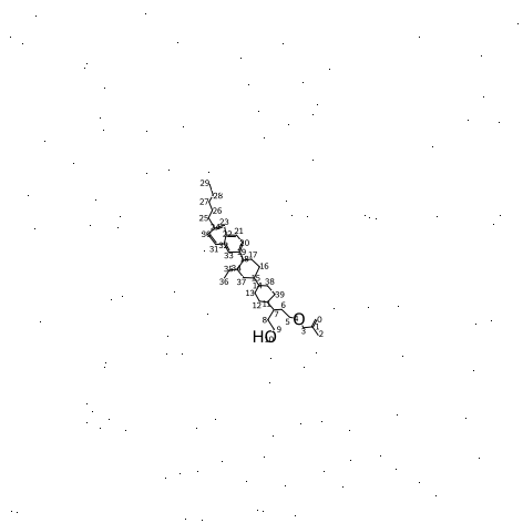 C=C(C)COCCC(CCO)C1CCC(C2CCC(c3ccc4cc(CCCCC)ccc4c3)C(CC)C2)CC1